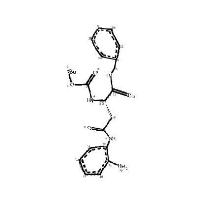 CC(C)(C)OC(=O)N[C@@H](CC(=O)Nc1ccccc1N)C(=O)OCc1ccccc1